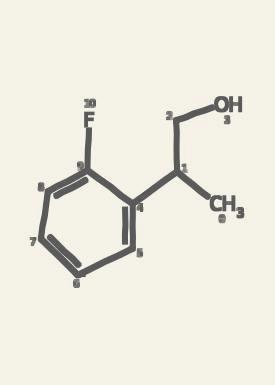 CC(CO)c1c[c]ccc1F